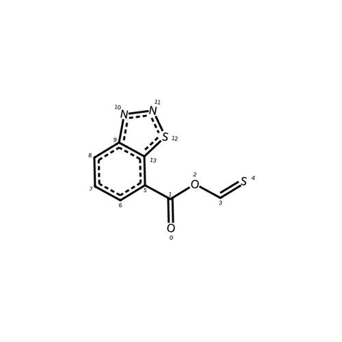 O=C(OC=S)c1cccc2nnsc12